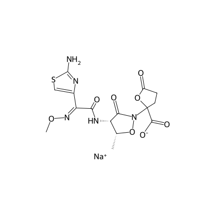 CON=C(C(=O)N[C@@H]1C(=O)N(C2(C(=O)[O-])CCC(=O)O2)O[C@@H]1C)c1csc(N)n1.[Na+]